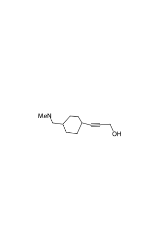 CNCC1CCC(C#CCO)CC1